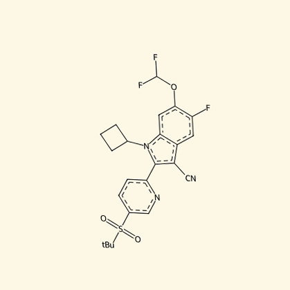 CC(C)(C)S(=O)(=O)c1ccc(-c2c(C#N)c3cc(F)c(OC(F)F)cc3n2C2CCC2)nc1